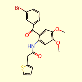 COc1cc(NC(=O)Cc2cccs2)c(C(=O)c2cccc(Br)c2)cc1OC